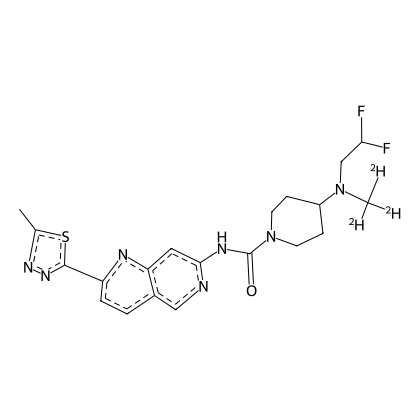 [2H]C([2H])([2H])N(CC(F)F)C1CCN(C(=O)Nc2cc3nc(-c4nnc(C)s4)ccc3cn2)CC1